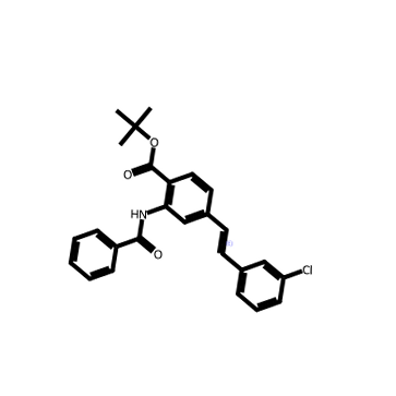 CC(C)(C)OC(=O)c1ccc(/C=C/c2cccc(Cl)c2)cc1NC(=O)c1ccccc1